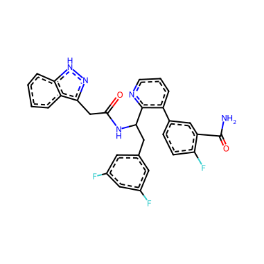 NC(=O)c1cc(-c2cccnc2C(Cc2cc(F)cc(F)c2)NC(=O)Cc2n[nH]c3ccccc23)ccc1F